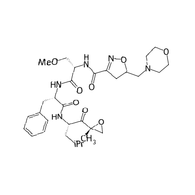 COC[C@H](NC(=O)C1=NOC(CN2CCOCC2)C1)C(=O)N[C@@H](Cc1ccccc1)C(=O)N[C@@H](CC(C)C)C(=O)[C@@]1(C)CO1